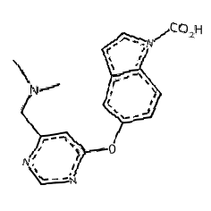 CN(C)Cc1cc(Oc2ccc3c(ccn3C(=O)O)c2)ncn1